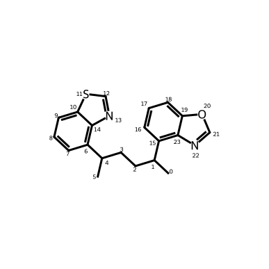 CC(CCC(C)c1cccc2scnc12)c1cccc2ocnc12